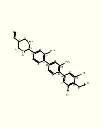 C=CC1COC(c2ccc(-c3ccc(-c4cc(F)c(CF)c(F)c4)c(F)c3)c(F)c2)OC1